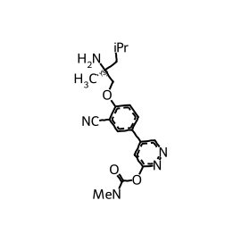 CNC(=O)Oc1cc(-c2ccc(OC[C@@](C)(N)CC(C)C)c(C#N)c2)cnn1